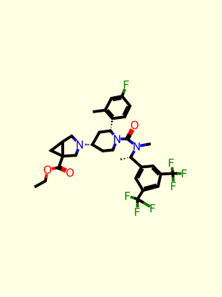 CCOC(=O)C12CC1CN([C@H]1CCN(C(=O)N(C)[C@@H](C)c3cc(C(F)(F)F)cc(C(F)(F)F)c3)[C@@H](c3ccc(F)cc3C)C1)C2